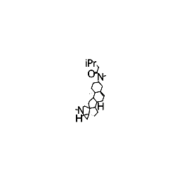 CC(C)CC(=O)N(C)[C@H]1CC[C@@]2(C)C(=CC[C@H]3C4CC[C@]56C[C@@H]5N(C)CC46CCC32)C1